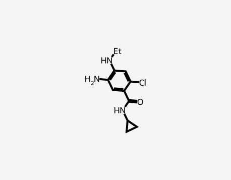 CCNc1cc(Cl)c(C(=O)NC2CC2)cc1N